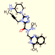 CC#CCn1c(C(=O)N(Cc2nc(C)c3ccccc3n2)NC)nnc1N1CCCC(N)C1